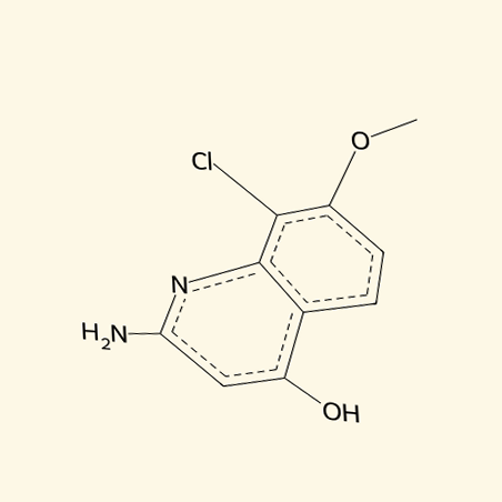 COc1ccc2c(O)cc(N)nc2c1Cl